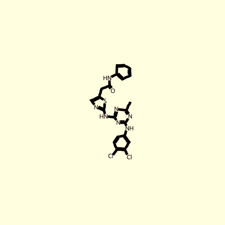 Cc1nc(Nc2ccc(Cl)c(Cl)c2)nc(Nc2ncc(CC(=O)Nc3ccccc3)s2)n1